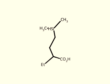 CCC(CC[SiH](C)C)C(=O)O